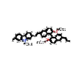 C/C=C/c1ccc2c(-c3c(OCCCCCCCC)ccc4cc(/C=C/c5ccc6c7ccc(C)cc7n(CCCCCCCC)c6c5)ccc34)c(OCCCCCCCC)ccc2c1